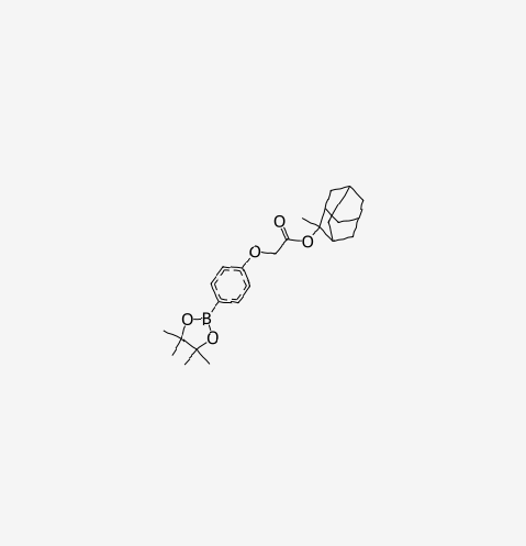 CC1(OC(=O)COc2ccc(B3OC(C)(C)C(C)(C)O3)cc2)C2CC3CC(C2)CC1C3